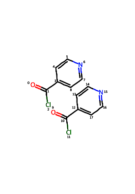 O=C(Cl)c1ccncc1.O=C(Cl)c1ccncc1